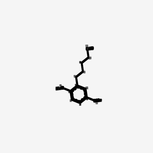 COc1ccc(OC)c(CCCCC=O)c1